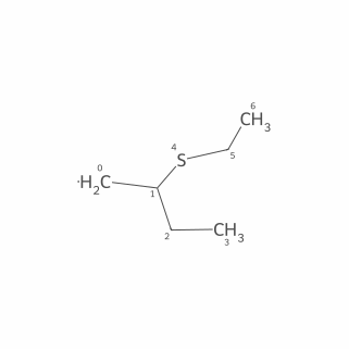 [CH2]C(CC)SCC